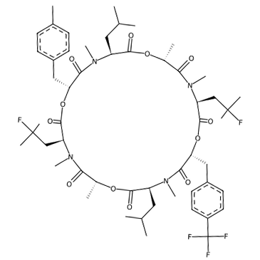 Cc1ccc(C[C@H]2OC(=O)[C@H](CC(C)(C)F)N(C)C(=O)[C@@H](C)OC(=O)[C@H](CC(C)C)N(C)C(=O)[C@@H](Cc3ccc(C(F)(F)F)cc3)OC(=O)[C@H](CC(C)(C)F)N(C)C(=O)[C@@H](C)OC(=O)[C@H](CC(C)C)N(C)C2=O)cc1